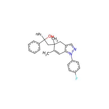 CCCC(O)(CC1(C)Cc2cnn(-c3ccc(F)cc3)c2C=C1C)c1ccccc1